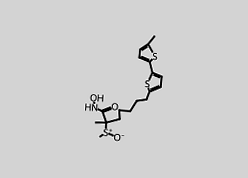 Cc1ccc(-c2ccc(CCCCCC(C)(C(=O)NO)[S+](C)[O-])s2)s1